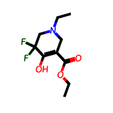 CCOC(=O)C1=C(O)C(F)(F)CN(CC)C1